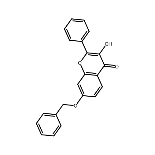 O=c1c(O)c(-c2ccccc2)oc2cc(OCc3ccccc3)ccc12